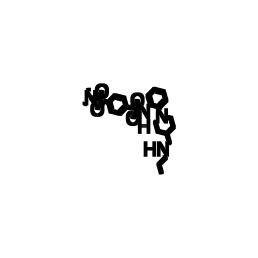 CCCNCC1CCN(c2ccccc2NS(=O)(=O)c2ccc(S(=O)(=O)N(C)C)cc2)CC1